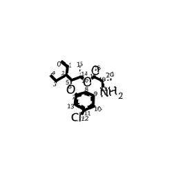 CCC(CC)[C@@H](Oc1cccc(Cl)c1)[C@H](C)OC(=O)[C@H](C)N